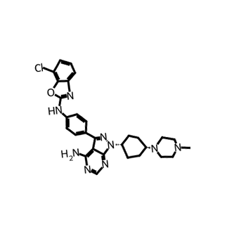 CN1CCN([C@H]2CC[C@@H](n3nc(-c4ccc(Nc5nc6cccc(Cl)c6o5)cc4)c4c(N)ncnc43)CC2)CC1